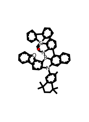 Cc1cc2c(cc1N1c3cc4ccccc4c4c3B(c3c1ccc1c3oc3ccccc31)N1c3ccccc3[Si]3(c5ccccc5-c5ccccc53)c3cccc-4c31)C(C)(C)CCC2(C)C